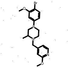 COc1cc(CN2CCN(c3ccc(Br)c(OC)c3)CC2C)ccn1